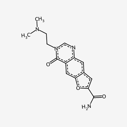 CN(C)CCn1cnc2cc3cc(C(N)=O)oc3cc2c1=O